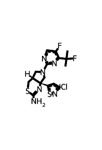 CC(C)(F)c1nc(N2C[C@H]3CSC(N)=N[C@@]3(c3ccns3)C2)ncc1F.Cl